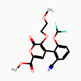 COCCOc1c(-c2c(C#N)cccc2OC(F)F)cc(C(=O)OC)oc1=O